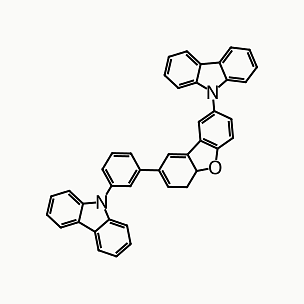 C1=C(c2cccc(-n3c4ccccc4c4ccccc43)c2)C=C2c3cc(-n4c5ccccc5c5ccccc54)ccc3OC2C1